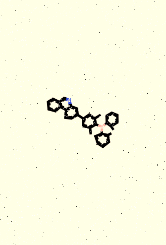 Cc1ccccc1B(c1ccccc1C)c1c(C)cc(-c2ccc3c(c2)ncc2ccccc23)cc1C